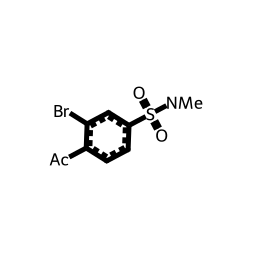 CNS(=O)(=O)c1ccc(C(C)=O)c(Br)c1